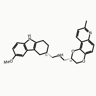 COc1ccc2[nH]c3c(c2c1)C[C@@H](CNC[C@H]1COc2ccc4nc(C)ccc4c2O1)CC3